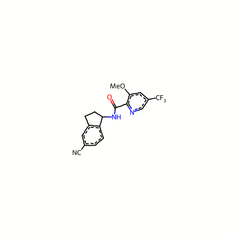 COc1cc(C(F)(F)F)cnc1C(=O)NC1CCc2cc(C#N)ccc21